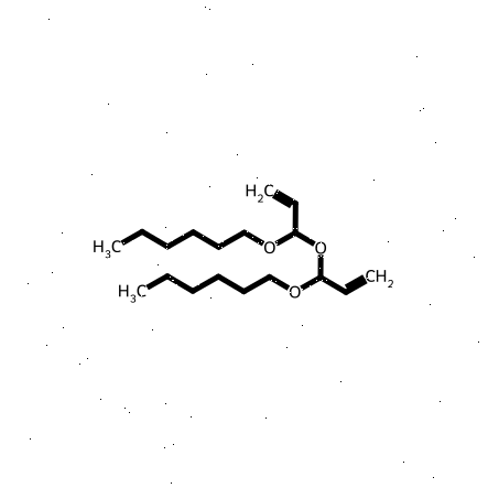 C=CC(OCCCCCC)OC(C=C)OCCCCCC